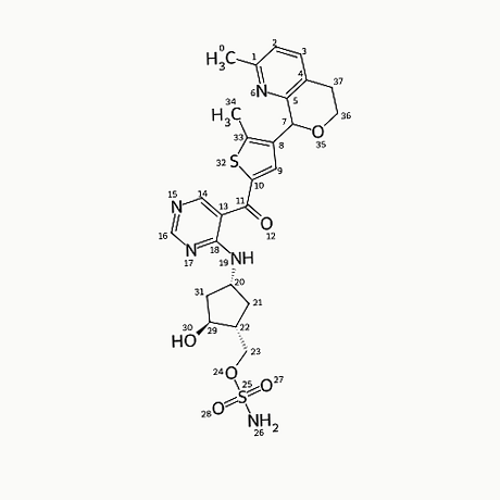 Cc1ccc2c(n1)C(c1cc(C(=O)c3cncnc3N[C@@H]3C[C@H](COS(N)(=O)=O)[C@@H](O)C3)sc1C)OCC2